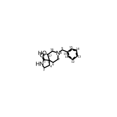 O=C1NCCC12CCN(Cc1ccccc1)CC2O